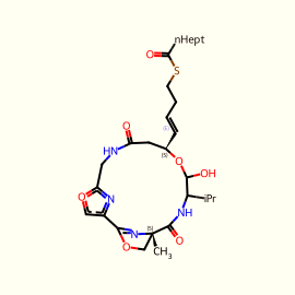 CCCCCCCC(=O)SCC/C=C/[C@@H]1CC(=O)NCc2nc(co2)C2=N[C@@](C)(CO2)C(=O)NC(C(C)C)C(O)O1